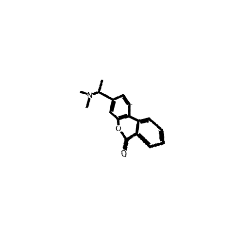 CC(c1c[c]c2c(c1)oc(=O)c1ccccc12)N(C)C